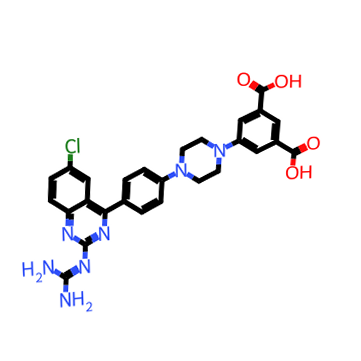 NC(N)=Nc1nc(-c2ccc(N3CCN(c4cc(C(=O)O)cc(C(=O)O)c4)CC3)cc2)c2cc(Cl)ccc2n1